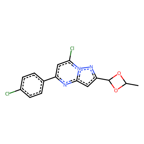 CC1OC(c2cc3nc(-c4ccc(Cl)cc4)cc(Cl)n3n2)O1